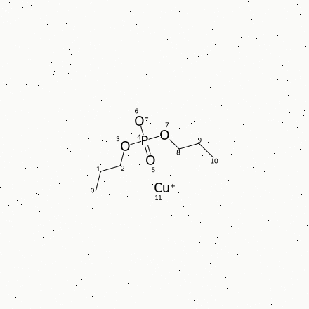 CCCOP(=O)([O-])OCCC.[Cu+]